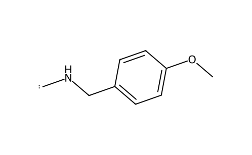 [CH]NCc1ccc(OC)cc1